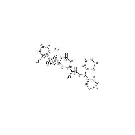 O=C(NCC(c1ccccc1)c1ccccc1)[C@@H]1CNC[C@H](NS(=O)(=O)c2c(F)cccc2F)C1